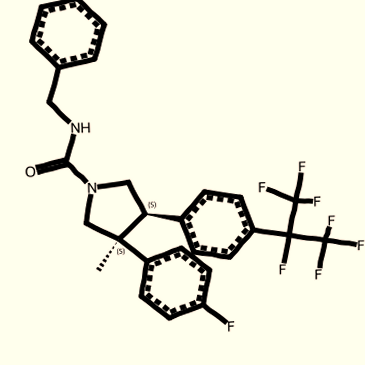 C[C@]1(c2ccc(F)cc2)CN(C(=O)NCc2ccccc2)C[C@H]1c1ccc(C(F)(C(F)(F)F)C(F)(F)F)cc1